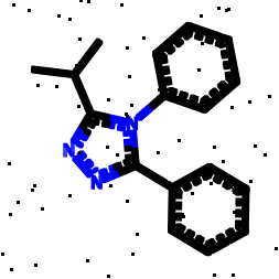 CC(C)c1nnc(-c2ccccc2)n1-c1ccccc1